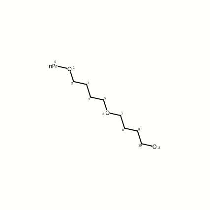 CCCOCCCCOCCCC[O]